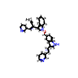 C#C/C(=C\c1cccnc1)c1cn(OCc2ccc3[nH]cc(/C=C/c4cccnc4)c3c2)c2ccccc12